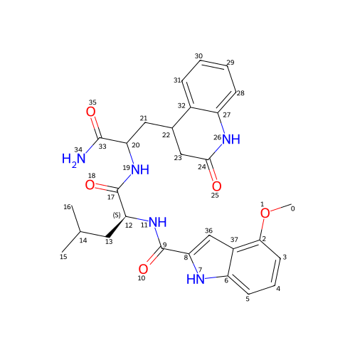 COc1cccc2[nH]c(C(=O)N[C@@H](CC(C)C)C(=O)NC(CC3CC(=O)Nc4ccccc43)C(N)=O)cc12